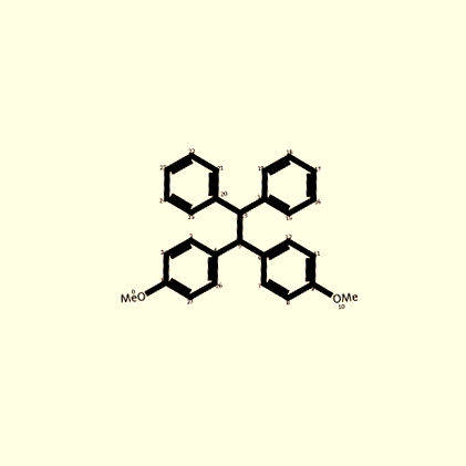 COc1ccc([C](c2ccc(OC)cc2)C(c2ccccc2)c2ccccc2)cc1